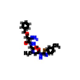 Cc1ccc2nc(NC(=O)CN(C)C(=O)CNC(=O)C(N)COCc3ccccc3)sc2c1